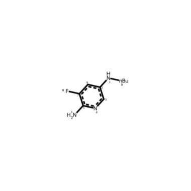 CCCCNc1cnc(N)c(F)c1